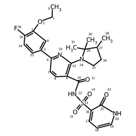 CCOc1cc(-c2ccc(C(=O)NS(=O)(=O)c3ccc[nH]c3=O)c(N3CCC(C)C3(C)C)n2)ccc1F